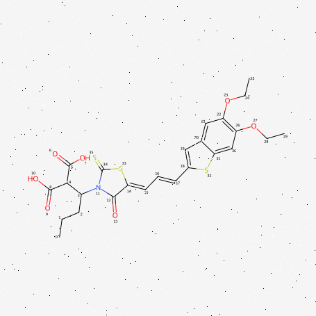 CCCC(C(C(=O)O)C(=O)O)N1C(=O)C(=CC=Cc2cc3cc(OCC)c(OCC)cc3s2)SC1=S